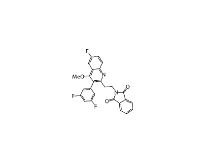 COc1c(-c2cc(F)cc(F)c2)c(CCN2C(=O)c3ccccc3C2=O)nc2ccc(F)cc12